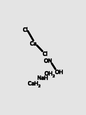 O.O=NO.[CaH2].[Cl][Ca][Cl].[NaH]